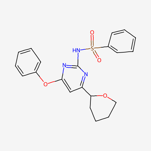 O=S(=O)(Nc1nc(Oc2ccccc2)cc(C2CCCCO2)n1)c1ccccc1